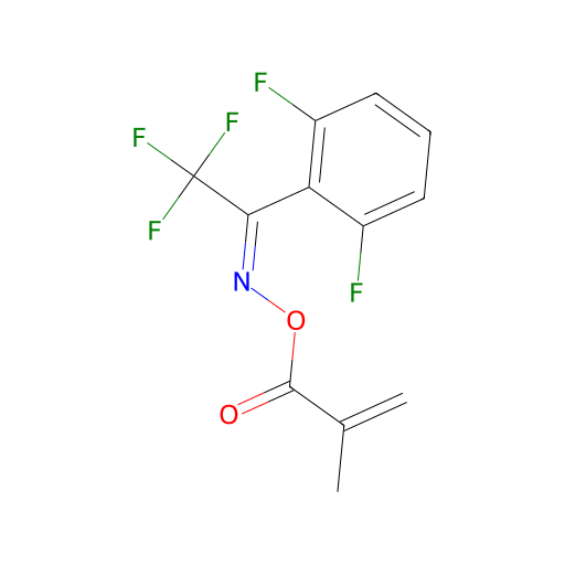 C=C(C)C(=O)O/N=C(\c1c(F)cccc1F)C(F)(F)F